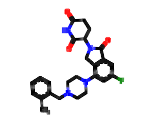 Cc1ccccc1CN1CCN(c2cc(F)cc3c2CN(C2CCC(=O)NC2=O)C3=O)CC1